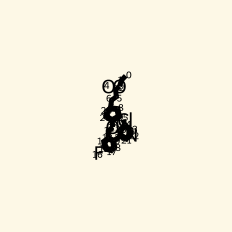 CCOC(=O)CCc1ccc(OCc2cc(F)ccc2-c2cncc(Cl)c2)cc1